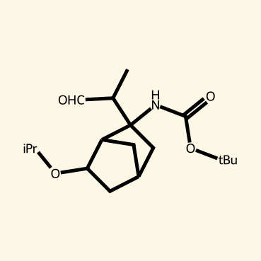 CC(C)OC1CC2CC1C(NC(=O)OC(C)(C)C)(C(C)C=O)C2